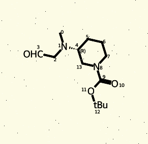 CN(CC=O)[C@@H]1CCCN(C(=O)OC(C)(C)C)C1